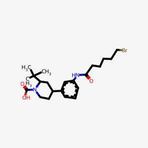 CC(C)(C)C1CC(c2cccc(NC(=O)CCCCCBr)c2)CCN1C(=O)O